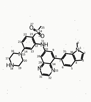 Cn1ccc2ccc(-c3cc(Nc4cc(N5CCNCC5)ccc4S(C)(=O)=O)cc4nccnc34)cc21